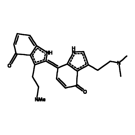 CNCCc1c2c([nH]c1=C1C=CC(=O)c3c(CCN(C)C)c[nH]c31)=CC=CC2=O